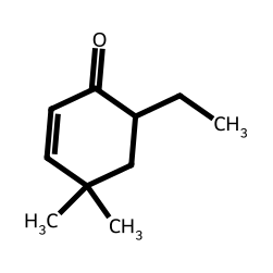 CCC1CC(C)(C)C=CC1=O